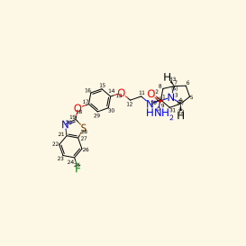 NC(=O)N1[C@@H]2CC[C@H]1C[C@H](NCCOc1ccc(Oc3nc4ccc(F)cc4s3)cc1)C2